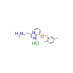 Cc1ccc(C)c(COc2cccn3c(CCN)cnc23)c1.Cl